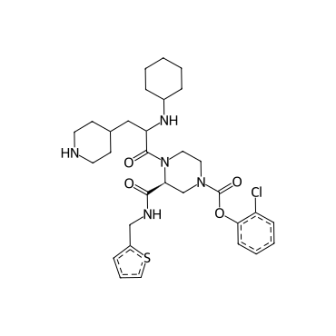 O=C(NCc1cccs1)[C@@H]1CN(C(=O)Oc2ccccc2Cl)CCN1C(=O)C(CC1CCNCC1)NC1CCCCC1